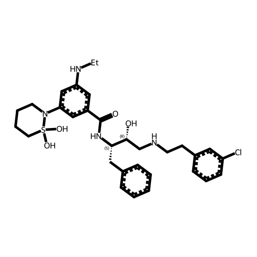 CCNc1cc(C(=O)N[C@@H](Cc2ccccc2)[C@H](O)CNCCc2cccc(Cl)c2)cc(N2CCCCS2(O)O)c1